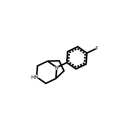 Fc1ccc(N2C3CCC2CNC3)cc1